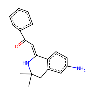 CC1(C)Cc2cc(N)ccc2C(=CC(=O)c2ccccc2)N1